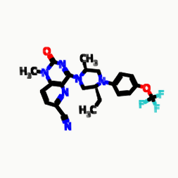 CC[C@H]1CN(c2nc(=O)n(C)c3ccc(C#N)nc23)[C@@H](C)CN1c1ccc(OC(F)(F)F)cc1